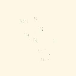 CNc1ncnc2c1ncn2[C@@H]1O[C@H](CO)[C@H]1CF